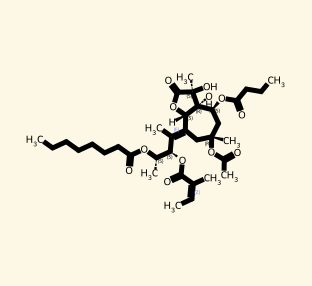 C/C=C(/C)C(=O)O[C@@H](/C(C)=C1\C[C@@](C)(OC(C)=O)C[C@H](OC(=O)CCC)[C@@]2(O)[C@H]1OC(=O)[C@@]2(C)O)[C@H](C)OC(=O)CCCCCCC